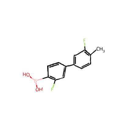 Cc1ccc(-c2ccc(B(O)O)c(F)c2)cc1F